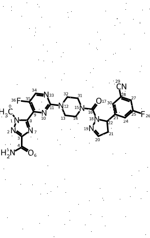 Cn1nc(C(N)=O)nc1-c1nc(N2CCN(C(=O)N3N=CCC3c3cc(F)cc(C#N)c3)CC2)ncc1F